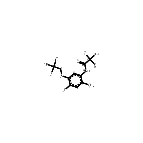 Cc1cc(F)c(SCC(F)(F)F)cc1NC(=O)C(F)(F)F